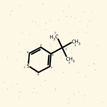 CC(C)(C)C1=CCSC=C1